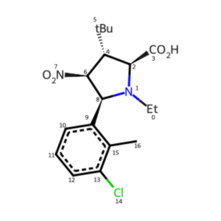 CCN1[C@H](C(=O)O)[C@@H](C(C)(C)C)[C@H]([N+](=O)[O-])[C@@H]1c1cccc(Cl)c1C